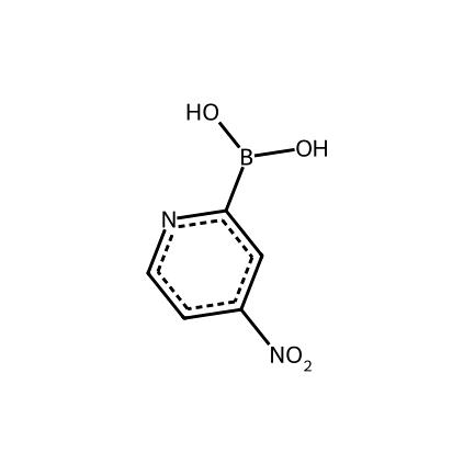 O=[N+]([O-])c1ccnc(B(O)O)c1